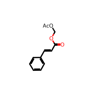 CC(=O)OCOC(=O)C=Cc1ccccc1